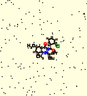 CCC[C@@H](NN(C(=O)c1cc(C)cc(C)c1)C(=O)c1ccccc1Cl)C(C)(C)C